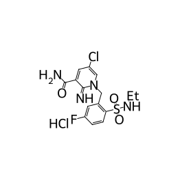 CCNS(=O)(=O)c1ccc(F)cc1Cn1cc(Cl)cc(C(N)=O)c1=N.Cl